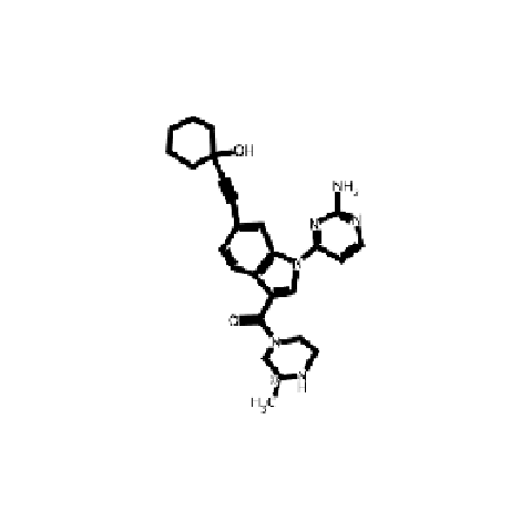 C[C@H]1CN(C(=O)c2cn(-c3ccnc(N)n3)c3cc(C#CC4(O)CCCCC4)ccc23)CCN1